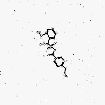 CCOCc1ccc(C(=O)NS(=O)(=O)C(C=O)c2ccccc2OCC)cn1